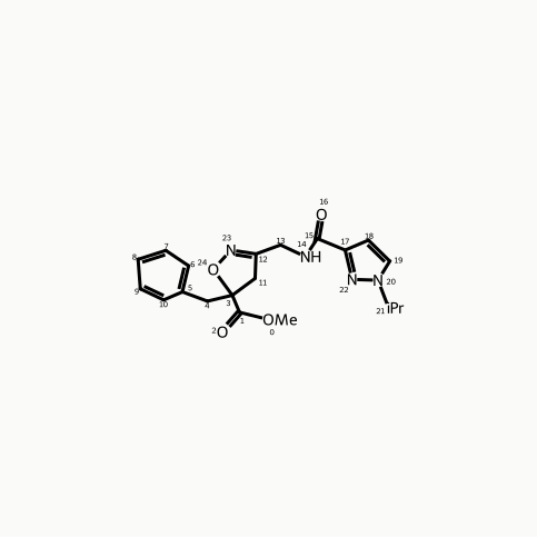 COC(=O)C1(Cc2ccccc2)CC(CNC(=O)c2ccn(C(C)C)n2)=NO1